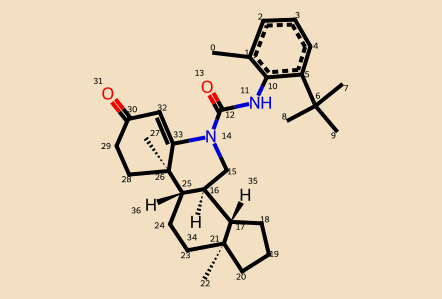 Cc1cccc(C(C)(C)C)c1NC(=O)N1C[C@H]2[C@@H]3CCC[C@@]3(C)CC[C@@H]2[C@@]2(C)CCC(=O)C=C12